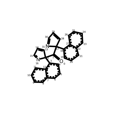 O=C(C1(c2cccc3ccccc23)C=CC=N1)C1(c2cccc3ccccc23)C=CC=N1